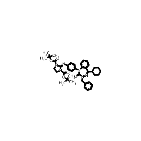 CC(C)(C)OC(=O)N1CCN(C(=O)OC(C)(C)C)C1=Nc1ccc(N2C(=O)N(Cc3ccccc3)N=C(C3CCCCC3)c3ccccc32)cc1